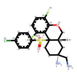 NC[C@@]1(N)CCC2(S(=O)(=O)c3ccc(Cl)cc3)c3c(F)ccc(F)c3OC[C@@H]2C1